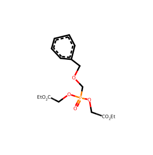 CCOC(=O)COP(=O)(COCc1ccccc1)OCC(=O)OCC